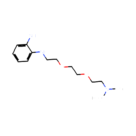 CC(C)(C)N(CCOCCOCCNc1ccccc1N)C(=O)O